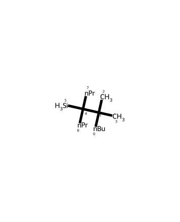 CCCCC(C)(C)C([SiH3])(CCC)CCC